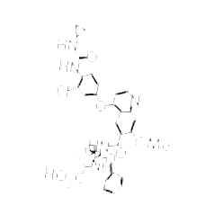 COc1cc2nccc(Oc3ccc(NC(=O)NC4CC4)c(Cl)c3)c2cc1C(=O)NP(=O)(NC(C)C(=O)O)Oc1ccccc1